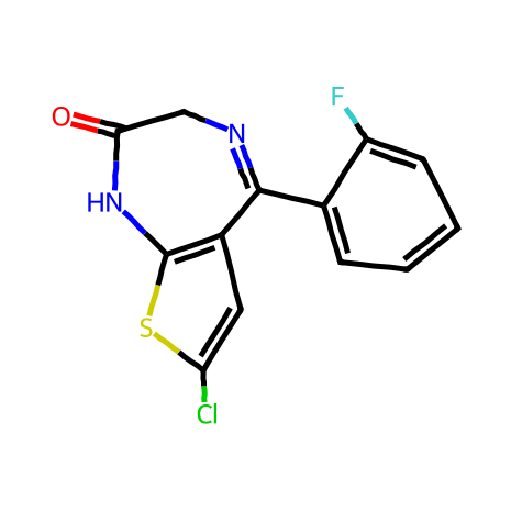 O=C1CN=C(c2ccccc2F)c2cc(Cl)sc2N1